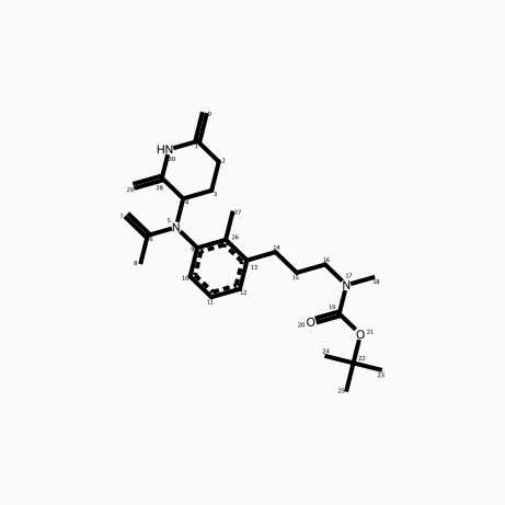 C=C1CCC(N(C(=C)C)c2cccc(CCCN(C)C(=O)OC(C)(C)C)c2C)C(=C)N1